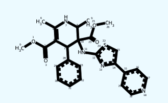 COC(=O)C1=C(C)NC(C)C(Nc2nc(-c3ccncc3)cs2)(C(=O)OC)C1c1ccccc1